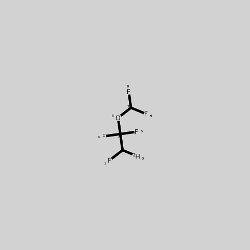 [2H]C(F)C(F)(F)OC(F)F